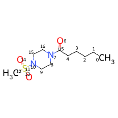 CCCCCC(=O)N1CCN(S(C)(=O)=O)CC1